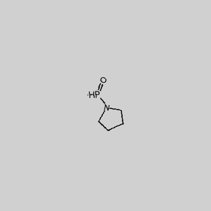 O=[PH]N1CCCC1